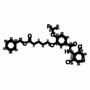 O=C(CCCCOc1cc(C(=O)Nc2c(Cl)cncc2Cl)ccc1OC(F)F)OCc1ccccc1